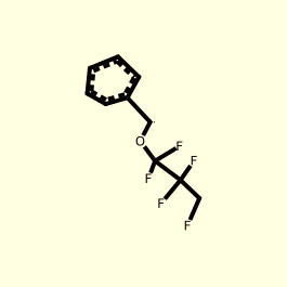 FCC(F)(F)C(F)(F)O[CH]c1ccccc1